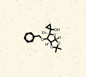 CC[C@]1(C2(O)CC2)O[C@@H]2OC(C)(C)O[C@H]2C1OCc1ccccc1